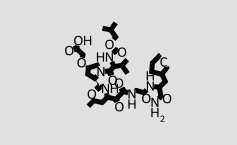 CCCC(NC(=O)[C@@H]1C[C@@H](OCC(=O)O)CN1C(=O)C(NC(=O)OCC(C)C)C(C)C)C(=O)C(=O)NCC(=O)NC(CC1CCCCC1)C(N)=O